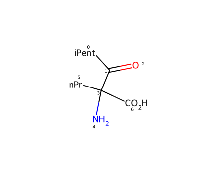 CCCC(C)C(=O)C(N)(CCC)C(=O)O